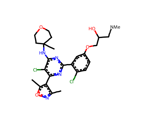 CNCC(O)COc1ccc(Cl)c(-c2nc(NC3(C)CCOCC3)c(Cl)c(-c3c(C)noc3C)n2)c1